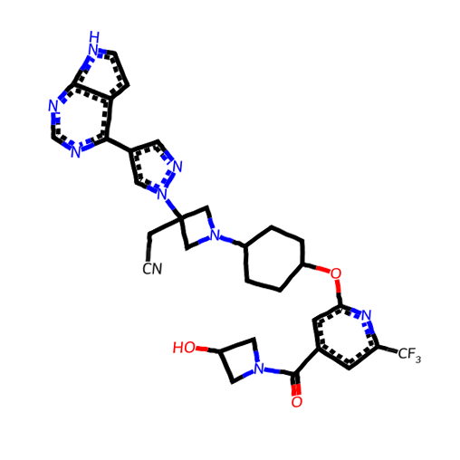 N#CCC1(n2cc(-c3ncnc4[nH]ccc34)cn2)CN(C2CCC(Oc3cc(C(=O)N4CC(O)C4)cc(C(F)(F)F)n3)CC2)C1